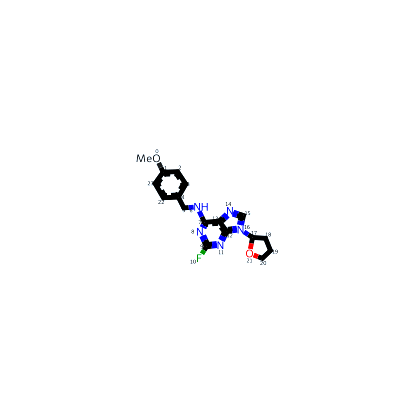 COc1ccc(CNc2nc(F)nc3c2ncn3C2CCCO2)cc1